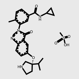 CS(=O)(=O)O.Cc1ccc(C(=O)NC2CC2)cc1-n1cnc2ccc(O[C@]3(C(C)C)CCNC3)cc2c1=O